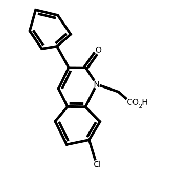 O=C(O)Cn1c(=O)c(-c2ccccc2)cc2ccc(Cl)cc21